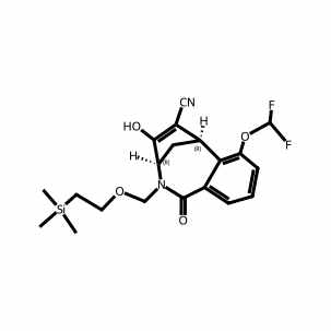 C[Si](C)(C)CCOCN1C(=O)c2cccc(OC(F)F)c2[C@H]2C[C@@H]1C(O)=C2C#N